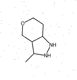 CC1NNC2CCOCC12